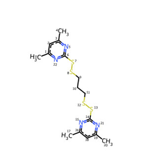 Cc1cc(C)nc(SSCCCSSc2nc(C)cc(C)n2)n1